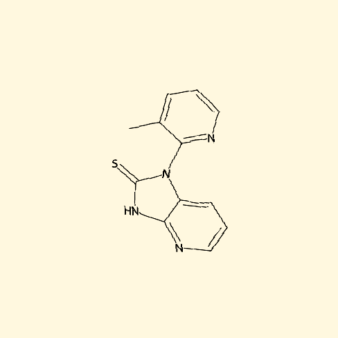 Cc1cccnc1-n1c(=S)[nH]c2ncccc21